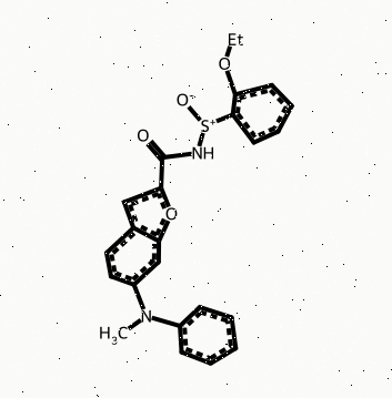 CCOc1ccccc1[S+]([O-])NC(=O)c1cc2ccc(N(C)c3ccccc3)cc2o1